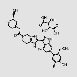 C#CC1CN(CC(=O)N2CCc3[nH]c(-c4n[nH]c5cc(-c6cc(F)c(O)cc6CC)cc(F)c45)nc3C2)CCO1.O=C(O)C(O)C(O)C(=O)O